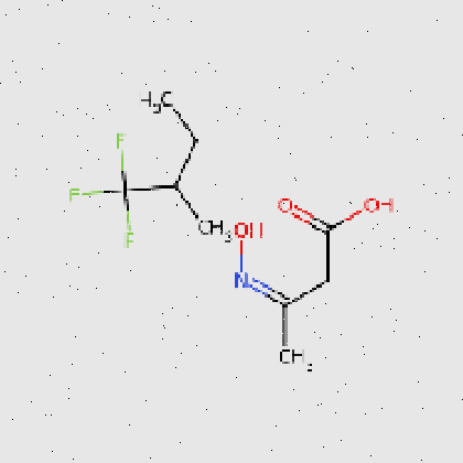 CC(CC(=O)O)=NO.CCC(C)C(F)(F)F